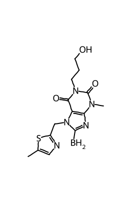 Bc1nc2c(c(=O)n(CCCO)c(=O)n2C)n1Cc1ncc(C)s1